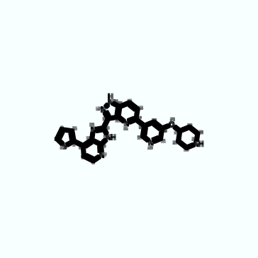 c1csc(-c2ccnc3[nH]c(-c4n[nH]c5ccc(-c6cncc(OC7CCNCC7)c6)nc45)nc23)c1